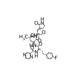 CC(C)C[C@H](NC(=O)[C@H](CCc1ccc(F)cc1)NC(=O)c1cnccn1)C(=O)N[C@H](C=O)C[C@@H]1CCNC1=O